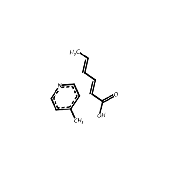 C/C=C/C=C/C(=O)O.Cc1ccncc1